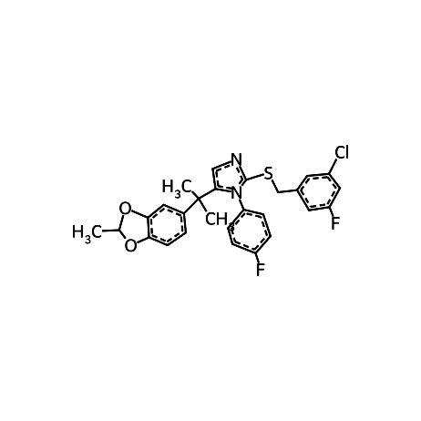 CC1Oc2ccc(C(C)(C)c3cnc(SCc4cc(F)cc(Cl)c4)n3-c3ccc(F)cc3)cc2O1